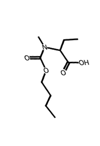 CCCCOC(=O)N(C)C(CC)C(=O)O